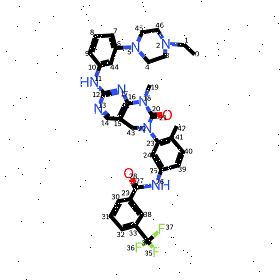 CCN1CCN(c2cccc(Nc3ncc4c(n3)N(C)C(=O)N(c3cc(NC(=O)c5cccc(C(F)(F)F)c5)ccc3C)C4)c2)CC1